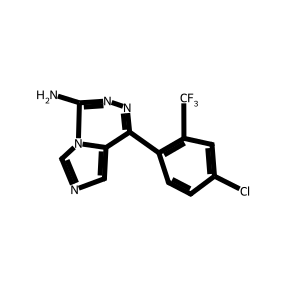 Nc1nnc(-c2ccc(Cl)cc2C(F)(F)F)c2cncn12